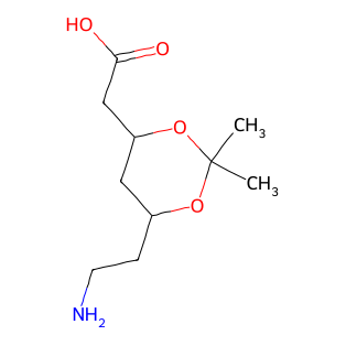 CC1(C)OC(CCN)CC(CC(=O)O)O1